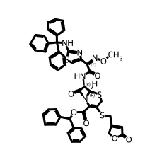 CO/N=C(\C(=O)N[C@@H]1C(=O)N2C(C(=O)OC(c3ccccc3)c3ccccc3)=C(SCC3=CC(=O)OC3)CS[C@H]12)c1csc(NC(c2ccccc2)(c2ccccc2)c2ccccc2)n1